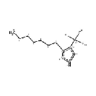 CCCCCCCc1n[nH]cc1C(F)(F)F